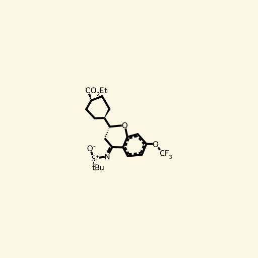 CCOC(=O)[C@H]1CC[C@@H]([C@H]2C/C(=N\[S@@+]([O-])C(C)(C)C)c3ccc(OC(F)(F)F)cc3O2)CC1